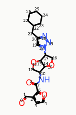 O=Cc1ccoc1C(=O)NC1COC2C1OCC2n1cc(CC2CCCCC2)nn1